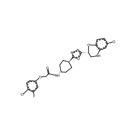 O=C(COc1ccc(Cl)c(F)c1)N[C@H]1CC[C@H](c2nnc([C@H]3CNc4cc(Cl)ccc4O3)o2)CC1